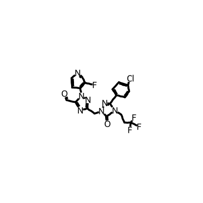 O=Cc1nc(Cn2nc(-c3ccc(Cl)cc3)n(CCC(F)(F)F)c2=O)nn1-c1ccncc1F